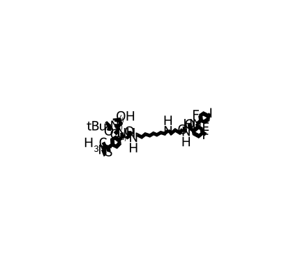 Cc1ncsc1-c1ccc([C@H](CC(=O)NCCCCCCCCNCCCONC(=O)c2ccc(F)c(F)c2Nc2ccc(I)cc2F)NC(=O)[C@@H]2C[C@@H](O)CN2C(=O)CC(C)(C)C)cc1